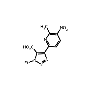 CCn1nnc(-c2ccc([N+](=O)[O-])c(C)n2)c1C(=O)O